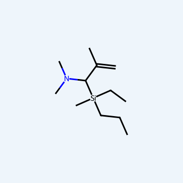 C=C(C)C(N(C)C)[Si](C)(CC)CCC